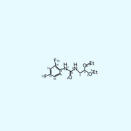 CCOC(CNC(=O)Nc1ccc(F)cc1F)OCC